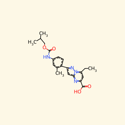 CCc1cc(C(=O)O)nc2cc(-c3ccc(NC(=O)OCC(C)C)cc3C)nn12